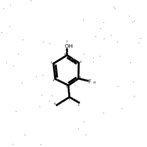 CC(C)c1ccc(O)cc1F